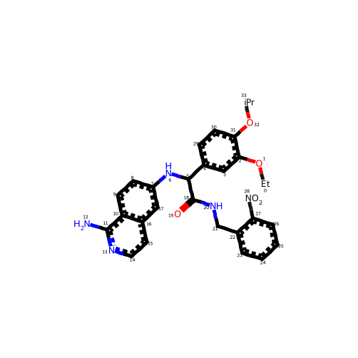 CCOc1cc(C(Nc2ccc3c(N)nccc3c2)C(=O)NCc2ccccc2[N+](=O)[O-])ccc1OC(C)C